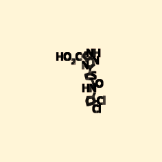 O=C(NCc1cccc(Cl)c1Cl)c1ccc(-c2cnc3[nH]cc(C(=O)O)c3n2)s1